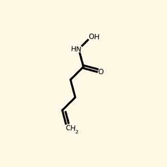 C=CCCC(=O)NO